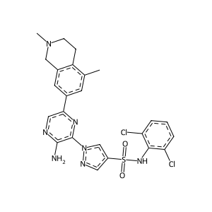 Cc1cc(-c2cnc(N)c(-n3cc(S(=O)(=O)Nc4c(Cl)cccc4Cl)cn3)n2)cc2c1CCN(C)C2